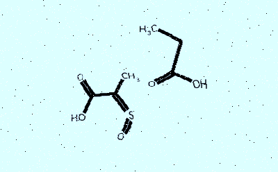 CC(=S=O)C(=O)O.CCC(=O)O